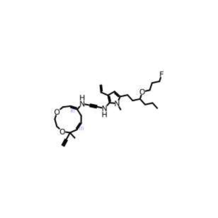 C#CC1(C)/C=C\C/C(NC#CNc2c(C=C)cc(CCC(CCC)OCCCF)n2C)=C\COCCO1